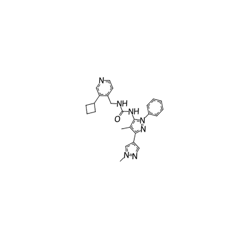 Cc1c(-c2cnn(C)c2)nn(-c2ccccc2)c1NC(=O)NCc1ccncc1C1CCC1